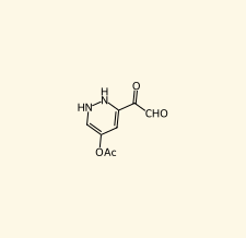 CC(=O)OC1=CNNC(C(=O)C=O)=C1